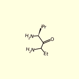 [CH2]CC(N)C(=O)[C@@H](N)C(C)C